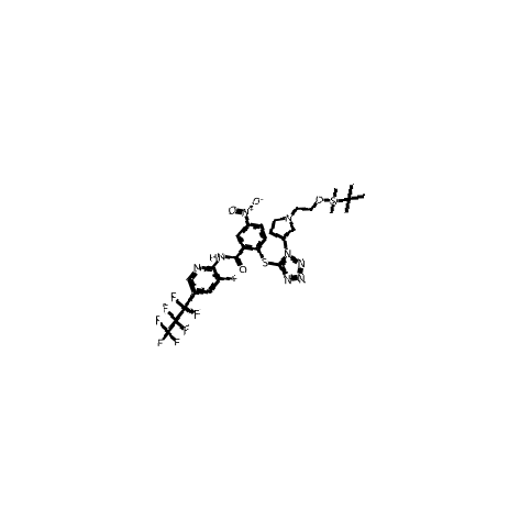 CC(C)(C)[Si](C)(C)OCCN1CCC(n2nnnc2Sc2ccc([N+](=O)[O-])cc2C(=O)Nc2ncc(C(F)(F)C(F)(F)C(F)(F)F)cc2F)C1